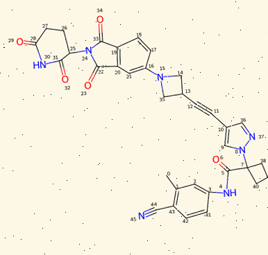 Cc1cc(NC(=O)C2(n3cc(C#CC4CN(c5ccc6c(c5)C(=O)N(C5CCC(=O)NC5=O)C6=O)C4)cn3)CCC2)ccc1C#N